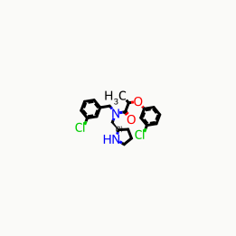 CC(Oc1cccc(Cl)c1)C(=O)N(Cc1cccc(Cl)c1)C[C@H]1CCCN1